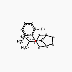 Cc1cccc(F)c1CN1C2CCC1CC(C(C)C)C2